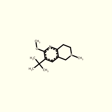 COc1nc2c(cc1C(C)(C)C)CN(C)CC2